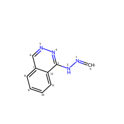 [CH]=NNc1nncc2ccccc12